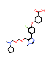 CN(COCOCc1c(-c2ccc(O[C@H]3CCC[C@H](C(=O)O)C3)c(F)c2)ncn1C)C1CCCC1